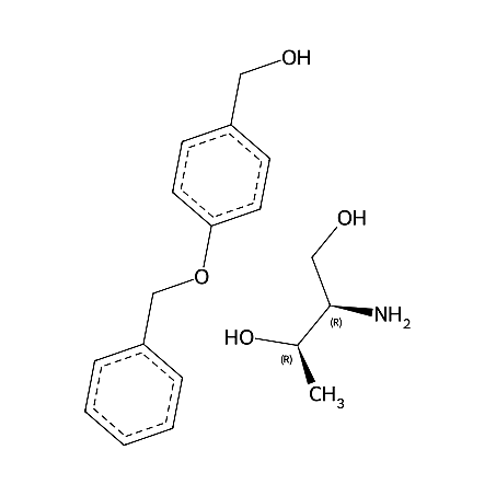 C[C@@H](O)[C@H](N)CO.OCc1ccc(OCc2ccccc2)cc1